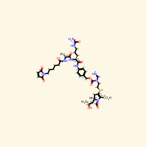 CC(C)[C@H](NC(=O)CCCCCN1C(=O)C=CC1=O)C(=O)N[C@@H](CCCNC(N)=O)C(=O)Nc1ccc(COC(=O)N(C=N)CCSC2=C(C(=O)O)N3C(=O)[C@H]([C@@H](C)O)[C@H]3C2)cc1